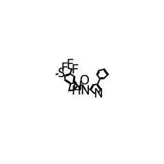 CSc1cc2c(cc1C(F)(F)F)N(C(=O)Nc1cncc(-c3ccccc3)c1)CC2